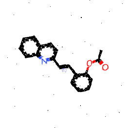 CC(=O)Oc1ccccc1/C=C/c1ccc2ccccc2n1